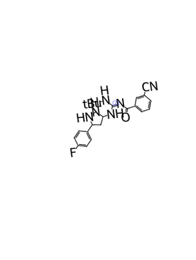 CC(C)(C)N/C(=N/C(=O)c1cccc(C#N)c1)NC1CC(c2ccc(F)cc2)NN1